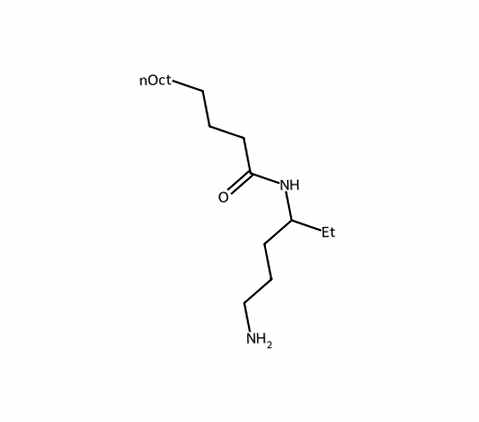 CCCCCCCCCCCC(=O)NC(CC)CCCN